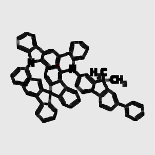 CC1(C)c2cc(-c3ccccc3)ccc2-c2ccc(N(c3ccccc3-c3ccc4c(c3)c3ccccc3n4-c3ccccc3)c3cccc4c3-c3ccccc3C43c4ccccc4-c4ccccc43)cc21